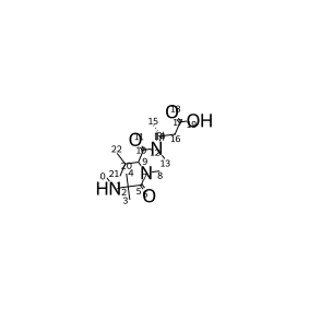 CNC(C)(C)C(=O)N(C)C(C(=O)N(C)[C@H](C)CC(=O)O)C(C)C